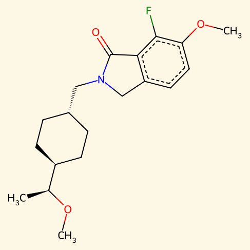 COc1ccc2c(c1F)C(=O)N(C[C@H]1CC[C@H]([C@H](C)OC)CC1)C2